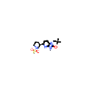 Cn1c(=O)n(CC(C)(C)C)c2ccc(C3CCCN(S(C)(=O)=O)C3)nc21